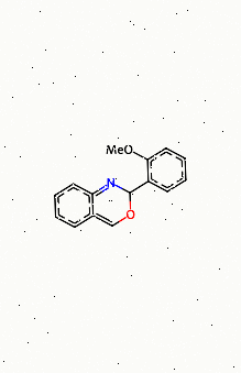 COc1ccccc1C1N=c2ccccc2=CO1